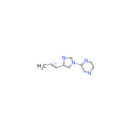 [CH2]/C=C/c1cn(-c2cnccn2)cn1